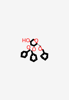 O[C@H]1CO[C@H](COCc2ccccc2)[C@H](OCc2ccccc2)[C@@H]1OCc1ccccc1